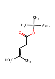 CCCCC[Si](C)(C)OC(=O)CC=C(C)C(=O)O